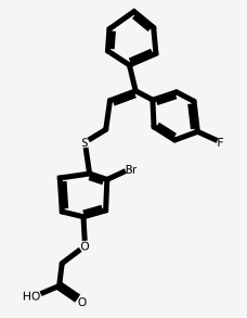 O=C(O)COc1ccc(SCC=C(c2ccccc2)c2ccc(F)cc2)c(Br)c1